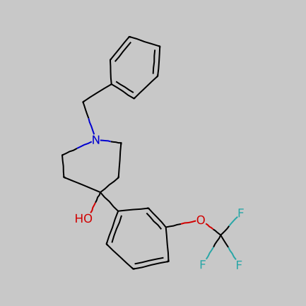 OC1(c2cccc(OC(F)(F)F)c2)CCN(Cc2ccccc2)CC1